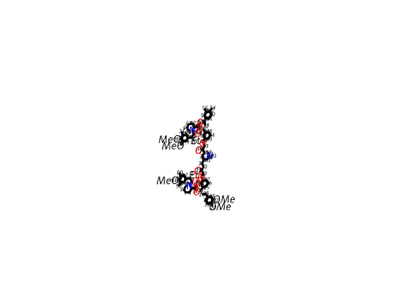 CC[C@H](C(=O)N1CCCCC1C(=O)O[C@H](CCc1ccc(OC)c(OC)c1)c1cccc(OCC(=O)CCC(CCC(=O)COc2cccc([C@@H](CCc3ccc(C)c(C)c3)OC(=O)C3CCCCN3C(=O)[C@@H](CC)c3cc(C)c(OC)c(OC)c3)c2)CN(C)C)c1)c1cc(C)c(OC)c(C)c1